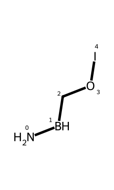 NBCOI